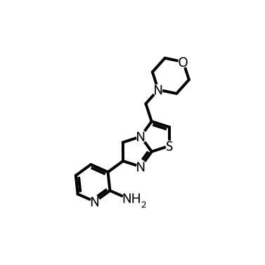 Nc1ncccc1C1CN2C(CN3CCOCC3)=CSC2=N1